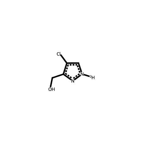 [2H]n1cc(Cl)c(CO)n1